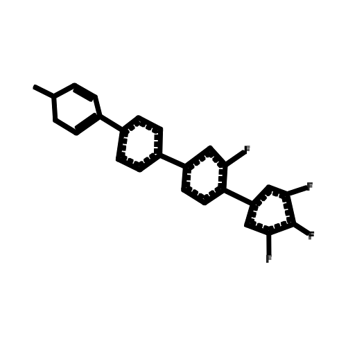 CC1C=CC(c2ccc(-c3ccc(-c4cc(F)c(F)c(F)c4)c(F)c3)cc2)=CC1